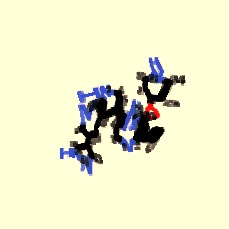 Cc1ncc(-c2c[nH]c3ncc(-c4cn[nH]c4)cc23)nc1OC1CCNCC1